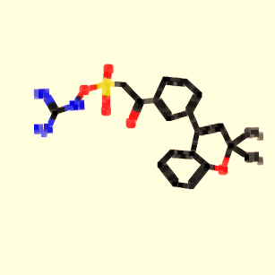 CC1(C)C=C(c2cccc(C(=O)CS(=O)(=O)ONC(=N)N)c2)c2ccccc2O1